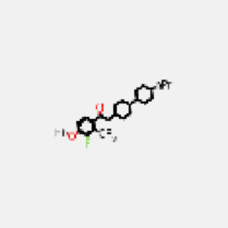 CCCC1CCC(C2CCC(CC(=O)c3ccc(OCC)c(F)c3C(F)(F)F)CC2)CC1